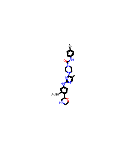 CC(=O)Nc1cc(Nc2ncc(C)c(N3CCN(C(=O)Nc4ccc(C(C)=O)cc4)CC3)n2)ccc1C1CNCCO1